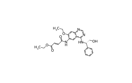 CCOC(=O)/C=C/C(=O)Nc1cc2c(N[C@H](CO)c3ccccc3)ncnc2cc1OCC